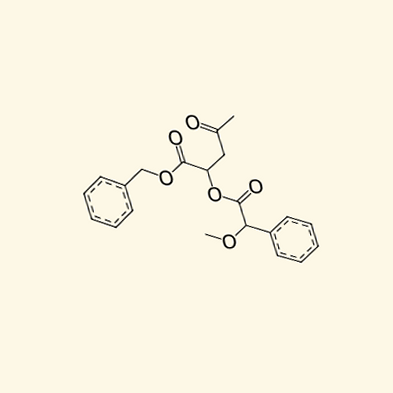 COC(C(=O)OC(CC(C)=O)C(=O)OCc1ccccc1)c1ccccc1